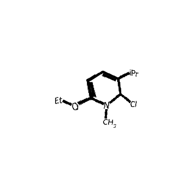 CCOC1=CC=C(C(C)C)C(Cl)N1C